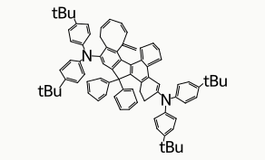 C=C1/C=C\C=C/Cc2c(N(c3ccc(C(C)(C)C)cc3)c3ccc(C(C)(C)C)cc3)cc3c(c21)-c1c(c2c(c4ccccc14)C=C(N(c1ccc(C(C)(C)C)cc1)c1ccc(C(C)(C)C)cc1)CC2)C3(c1ccccc1)c1ccccc1